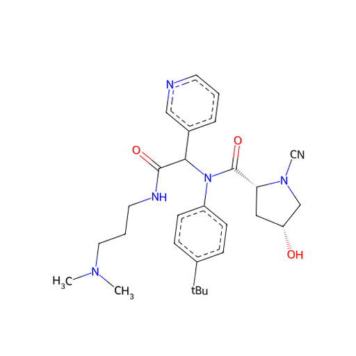 CN(C)CCCNC(=O)C(c1cccnc1)N(C(=O)[C@H]1C[C@@H](O)CN1C#N)c1ccc(C(C)(C)C)cc1